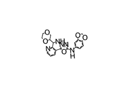 NC(c1ncccc1-c1nnc(Nc2ccc3c(c2)OCO3)o1)C1COCCO1